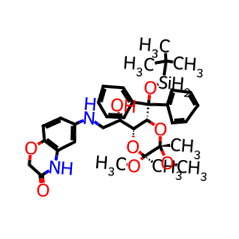 CO[C@@]1(C)O[C@H]([C@@H](O)CNc2ccc3c(c2)NC(=O)CO3)[C@H](C(O[SiH2]C(C)(C)C)(c2ccccc2)c2ccccc2)O[C@]1(C)OC